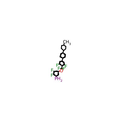 CC1CCC(c2ccc(-c3cc(F)c(C(F)(F)Oc4cc(F)c(F)c(P)c4)c(F)c3)cc2)CC1